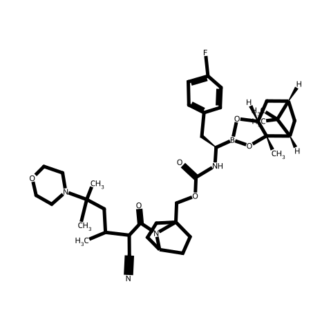 CC(CC(C)(C)N1CCOCC1)C(C#N)C(=O)N1C2CCC1(COC(=O)N[C@@H](Cc1ccc(F)cc1)B1O[C@@H]3C[C@@H]4C[C@@H](C4(C)C)[C@]3(C)O1)CC2